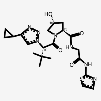 CC(C)(C)[C@@H](C(=O)N1C[C@H](O)C[C@H]1C(=O)NCC(=O)Nc1nccs1)n1cc(C2CC2)nn1